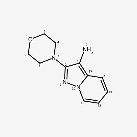 Nc1c(N2CCOCC2)nn2ccccc12